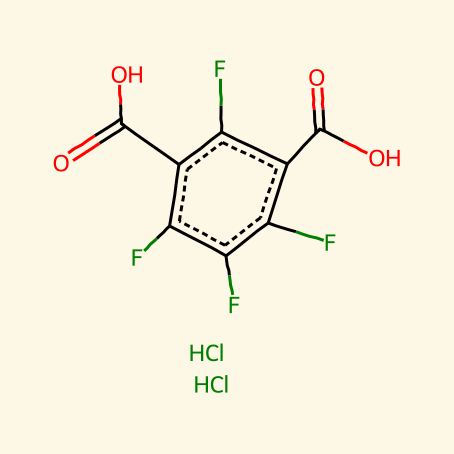 Cl.Cl.O=C(O)c1c(F)c(F)c(F)c(C(=O)O)c1F